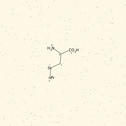 CCC[Se]CC(N)C(=O)O